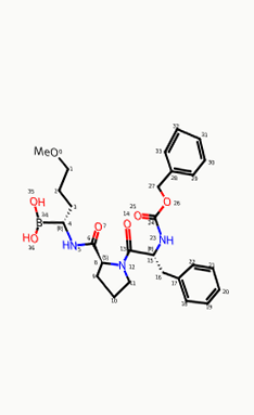 COCCC[C@H](NC(=O)[C@@H]1CCCN1C(=O)[C@@H](Cc1ccccc1)NC(=O)OCc1ccccc1)B(O)O